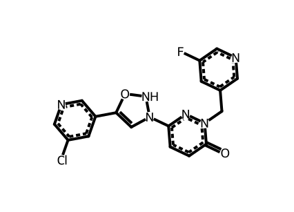 O=c1ccc(N2C=C(c3cncc(Cl)c3)ON2)nn1Cc1cncc(F)c1